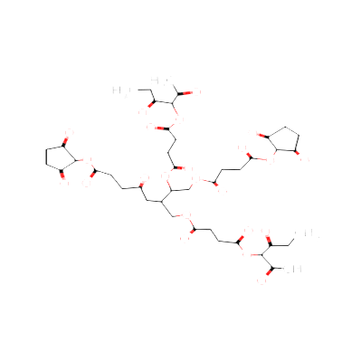 CCC(=O)C(OC(=O)CCC(=O)OCC(CC(=O)CCC(=O)OC1C(=O)CCC1=O)C(COC(=O)CCC(=O)OC1C(=O)CCC1=O)OC(=O)CCC(=O)OC(C(C)=O)C(=O)CC)C(C)=O